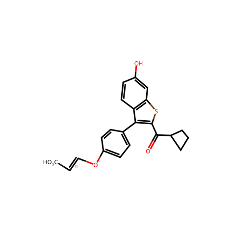 O=C(O)/C=C/Oc1ccc(-c2c(C(=O)C3CCC3)sc3cc(O)ccc23)cc1